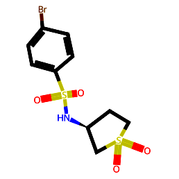 O=S1(=O)CC[C@H](NS(=O)(=O)c2ccc(Br)cc2)C1